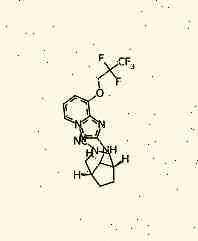 N#CN1C[C@H]2CC[C@@H](C1)[C@@H]2Nc1nc2c(OCC(F)(F)C(F)(F)F)cccn2n1